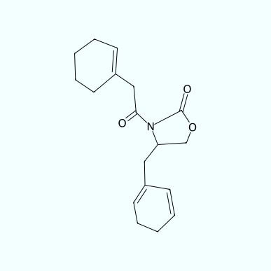 O=C(CC1=CCCCC1)N1C(=O)OCC1CC1=CCCC=C1